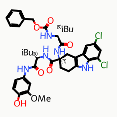 CC[C@H](C)C(NC(=O)OCc1ccccc1)C(=O)N[C@]1(C(=O)NC(C(=O)Nc2ccc(O)c(OC)c2)[C@@H](C)CC)CCc2[nH]c3c(Cl)cc(Cl)cc3c2C1